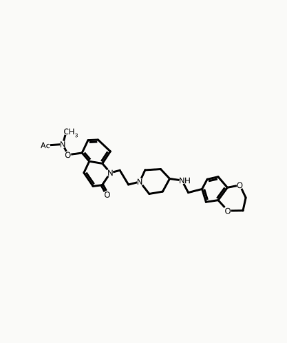 CC(=O)N(C)Oc1cccc2c1ccc(=O)n2CCN1CCC(NCc2ccc3c(c2)OCCO3)CC1